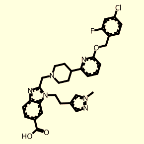 Cn1cc(CCn2c(CN3CCC(c4cccc(OCc5ccc(Cl)cc5F)n4)CC3)nc3ccc(C(=O)O)cc32)cn1